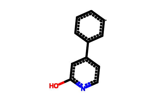 Oc1cc(-c2c[c]ccc2)ccn1